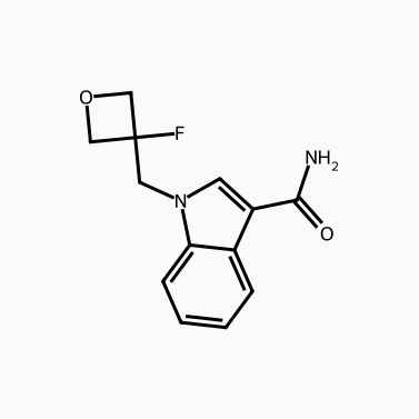 NC(=O)c1cn(CC2(F)COC2)c2ccccc12